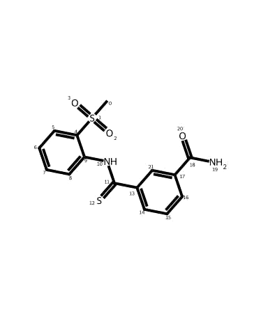 CS(=O)(=O)c1ccccc1NC(=S)c1cccc(C(N)=O)c1